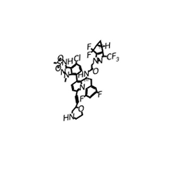 Cn1nc(NS(C)(=O)=O)c2c(Cl)ccc(-c3ccc(C#CC4CNCCO4)nc3[C@H](Cc3cc(F)cc(F)c3)NC(=O)Cn3nc(C(F)(F)F)c4c3C(F)(F)C3C[C@H]43)c21